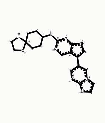 c1cn2cc(-c3c[nH]c4nc(NC5CCC6(CC5)OCCO6)ncc34)cnc2n1